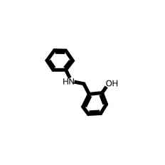 Oc1ccccc1CNc1ccccc1